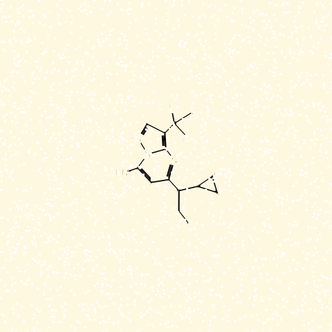 CCC(c1cc(N)n2ncc(C(F)(F)F)c2n1)C1CC1